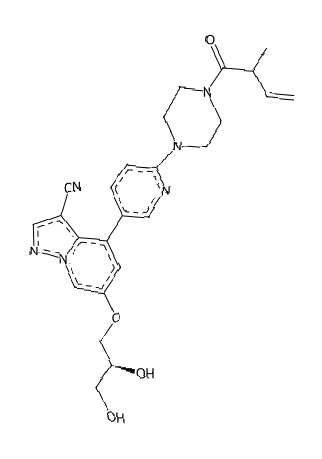 C=CC(C)C(=O)N1CCN(c2ccc(-c3cc(OC[C@@H](O)CO)cn4ncc(C#N)c34)cn2)CC1